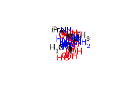 Cc1nc(N)c2c(C(=O)NO[C@@H]3[C@H](O)[C@@H](COP(=O)(O)O)O[C@H]3n3cc(C(N)=O)c4c(N)nc(C)nc43)cn([C@@H]3O[C@H](COC(=O)[C@@H](N)CC(C)C)[C@@H](O)[C@H]3O)c2n1